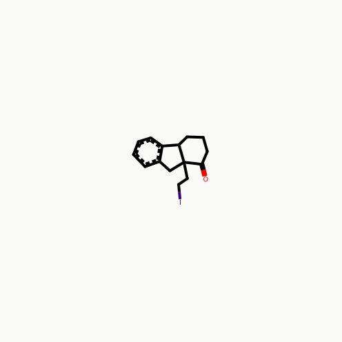 O=C1CCCC2c3ccccc3CC12CCI